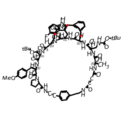 COc1ccc(C[C@@H]2NC(=O)[C@H]([C@@H](C)OC(C)(C)C)NC(=O)[C@@H]3CCC(=O)NCc4cccc(c4)C[C@H](NC(=O)[C@@H](CNC(=O)OC(C)(C)C)NC(=O)[C@H](C)NC(=O)CCC(=O)NCc4ccc(cc4)CCNC(=O)C4CCCN4C2=O)C(=O)N[C@@H](Cc2c[nH]c4ccc(F)cc24)C(=O)N3C)cc1